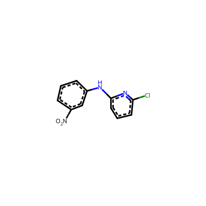 O=[N+]([O-])c1cccc(Nc2cccc(Cl)n2)c1